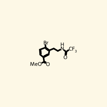 COC(=O)c1ccc(Br)c(CCNC(=O)C(F)(F)F)c1